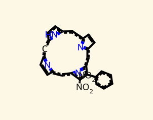 O=[N+]([O-])c1c(-c2ccccc2)c2cc3nc(cc4ccc(cc5nc(cc1n2[N+](=O)[O-])C=C5)[nH]4)C=C3